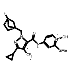 CSc1cc(NC(=O)c2c(C(F)(F)F)c(C3CC3)nn2CC23CCC(F)(C2)C3)cc[n+]1O